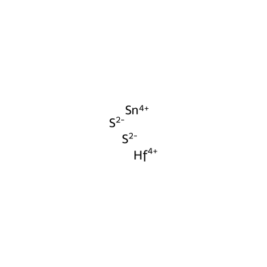 [Hf+4].[S-2].[S-2].[Sn+4]